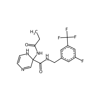 CCC(=O)NC1(C(=O)NCc2cc(F)cc(C(F)(F)F)c2)C=NC=CN1